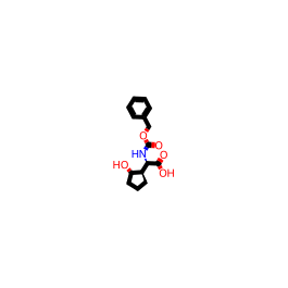 O=C(N[C@H](C(=O)O)[C@H]1CCCC1O)OCc1ccccc1